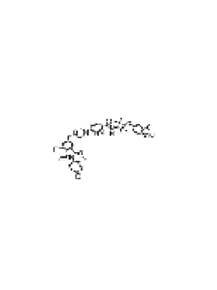 CC1(C)C(NC(=O)c2ccc(N3CCN(Cc4cc(F)c5c(c4)C(=O)N(C4CCC(=O)NC4=O)C5=O)CC3)nn2)C(C)(C)C1Oc1ccc(C#N)c(Cl)c1